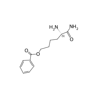 NC(=O)[C@@H](N)CCCCOC(=O)c1ccccc1